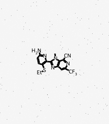 CCSc1ccc(N)nc1-c1nc2cc(C(F)(F)F)nc(C#N)c2n1C